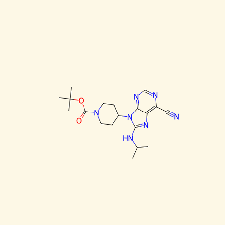 CC(C)Nc1nc2c(C#N)ncnc2n1C1CCN(C(=O)OC(C)(C)C)CC1